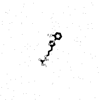 NC(=O)NOCCCc1cn(-c2ccccc2C(F)(F)F)cn1